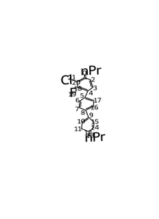 CCCc1ccc(-c2ccc(C3=CCC(CCC)CC3)cc2)c(F)c1Cl